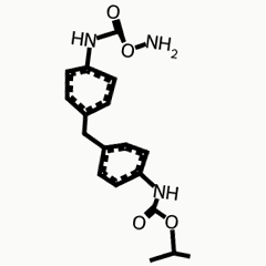 CC(C)OC(=O)Nc1ccc(Cc2ccc(NC(=O)ON)cc2)cc1